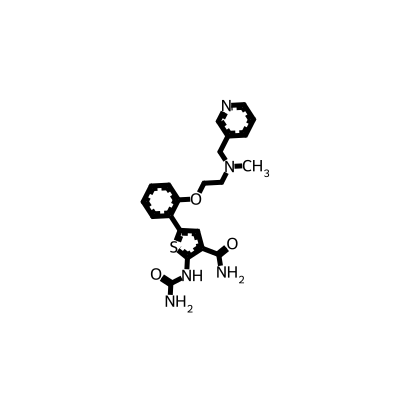 CN(CCOc1ccccc1-c1cc(C(N)=O)c(NC(N)=O)s1)Cc1cccnc1